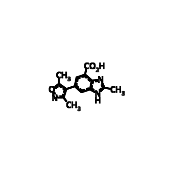 Cc1nc2c(C(=O)O)cc(-c3c(C)noc3C)cc2[nH]1